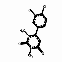 Cn1c(-c2ccc(Cl)c(Cl)c2)cc(=S)n(C)c1=O